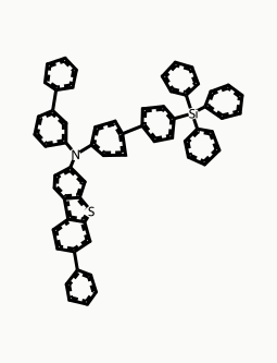 c1ccc(-c2cccc(N(c3ccc(-c4ccc([Si](c5ccccc5)(c5ccccc5)c5ccccc5)cc4)cc3)c3ccc4c(c3)sc3cc(-c5ccccc5)ccc34)c2)cc1